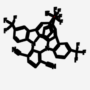 N#Cc1ccc(C#N)c(-n2c3ccc(C(F)(F)F)cc3c3cc(C(F)(F)F)ccc32)c1-n1c2ccc(C(F)(F)F)cc2c2cc(C(F)(F)F)ccc21